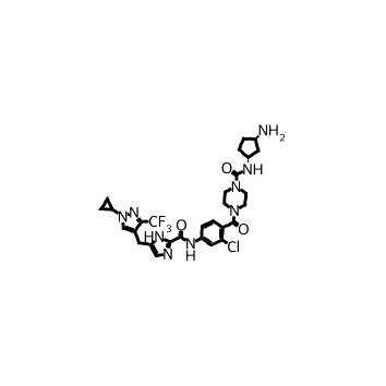 N[C@@H]1CC[C@@H](NC(=O)N2CCN(C(=O)c3ccc(NC(=O)c4ncc(Cc5cn(C6CC6)nc5C(F)(F)F)[nH]4)cc3Cl)CC2)C1